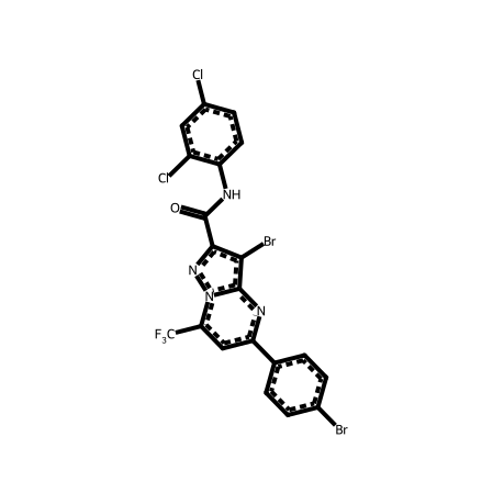 O=C(Nc1ccc(Cl)cc1Cl)c1nn2c(C(F)(F)F)cc(-c3ccc(Br)cc3)nc2c1Br